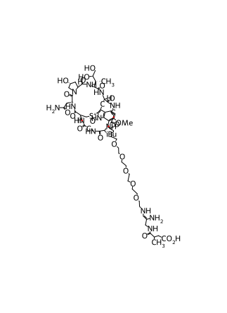 CC[C@H](C)[C@@H]1NC(=O)CCNC(=O)[C@@H]2Cc3c([nH]c4c(CSCCOCCOCCOCCOCCOCCN/C=C(\N)CNC(=O)C(C)CC(=O)O)c(OC)ccc34)[S+]([O-])C[C@@H](NC(=O)CNC1=O)C(=O)N[C@@H](CC(N)=O)C(=O)N1C[C@H](O)C[C@H]1C(=O)N[C@@H]([C@@H](C)[C@@H](O)CO)C(=O)N2